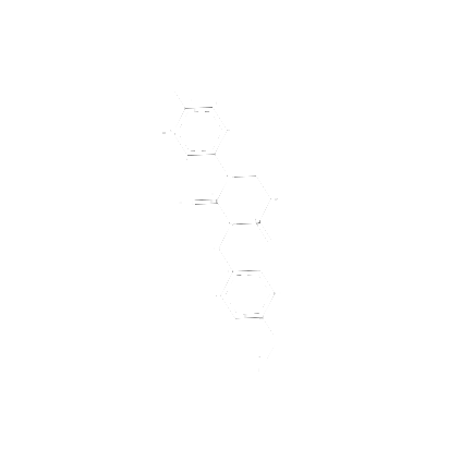 COc1ccc(CN2C(=O)CCN(c3ccc(F)nc3)C2=O)cc1